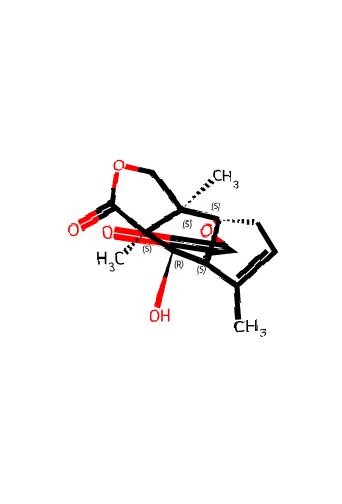 CC1=CC[C@@]23OC(=O)C[C@@]12[C@@H](O)[C@@]1(C)C(=O)OC[C@@]31C